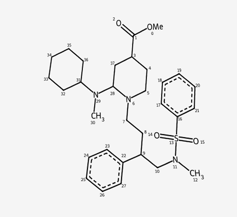 COC(=O)C1CCN(CCC(CN(C)S(=O)(=O)c2ccccc2)c2ccccc2)C(N(C)C2CCCCC2)C1